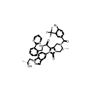 C[C@@H]1Cn2c(c(C(=O)NCc3ccccc3-c3ncccn3)n(-c3ccc4c(cnn4C[C@@H](C)O)c3)c2=O)CN1C(=O)c1ccc(Br)c(C(F)(F)F)c1